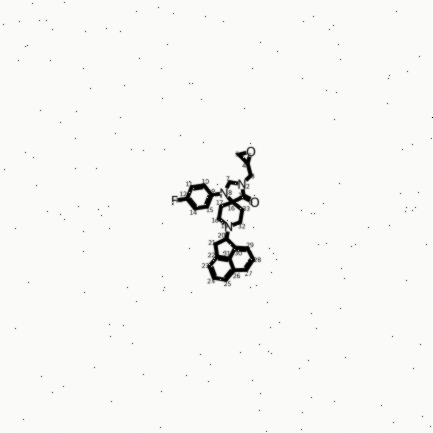 O=C1N(CC2CO2)CN(c2ccc(F)cc2)C12CCN(C1Cc3cccc4cccc1c34)CC2